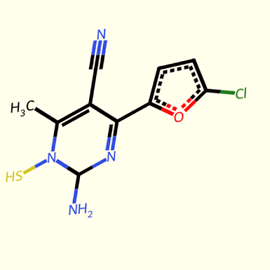 CC1=C(C#N)C(c2ccc(Cl)o2)=NC(N)N1S